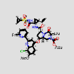 C=C[C@@H]1C[C@]1(NC(=O)[C@@H]1C[C@@H](Oc2cc(-c3cccc(C(C)C)n3)nc3c(Cl)c(OC)ccc23)[C@H]2CN(C(=O)OC(C)(C)C)[C@H](C(C)(C)C)C(=O)N21)C(=O)NS(=O)(=O)C1CC1